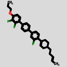 C/C=C/CCC1CC=C(c2ccc(-c3ccc(-c4ccc(OCCC)c(F)c4F)cc3)cc2F)CC1